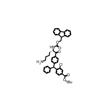 CC(C)(C)OC(=O)c1ccc([C](c2ccccc2)c2ccc(C(=O)[C@H](CCCCN)NC(=O)OCC3c4ccccc4-c4ccccc43)cc2)c(Cl)c1